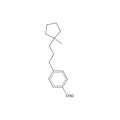 CC1(CCCc2ccc(C=O)cc2)CCCC1